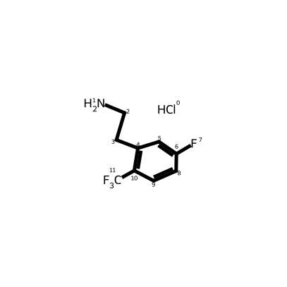 Cl.NCCc1cc(F)ccc1C(F)(F)F